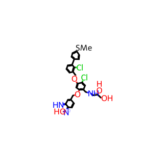 CSc1ccc(-c2cccc(COc3cc(OCC4=CC(=N)/C(=N\O)C=C4)c(CNCC(O)CO)cc3Cl)c2Cl)cc1